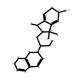 CCC(CC1C(C)C2=CCC(I)C=C2C1(C)C)C1C=CC2=C(CCC=C2)C1